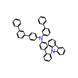 c1ccc(-c2cccc(-c3ccc(N(c4ccc(-c5ccccc5-n5c6ccccc6c6ccccc65)cc4)c4cccc(-c5ccccc5)c4)cc3)c2)cc1